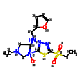 CCS(=O)(=O)c1nnc([N+]2([O-])CN(C)CC2NCc2ccco2)s1